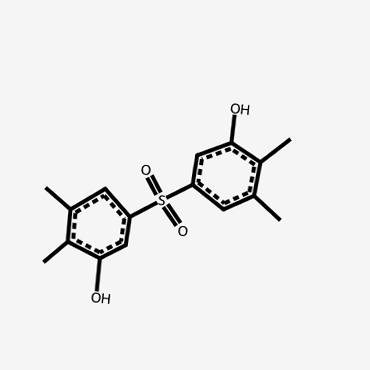 Cc1cc(S(=O)(=O)c2cc(C)c(C)c(O)c2)cc(O)c1C